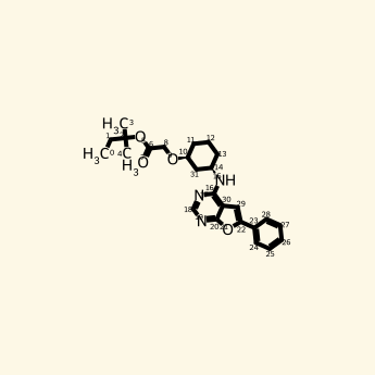 CCC(C)(C)OC(=O)CO[C@H]1CCC[C@H](Nc2ncnc3oc(-c4ccccc4)cc23)C1